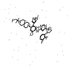 COc1cc(N2CCC3(CC2)CCN(C(C)(C)CF)CC3)c(-c2cnn(C)c2)cc1Nc1cc(N2OCCC2c2cccc(F)c2F)ncn1